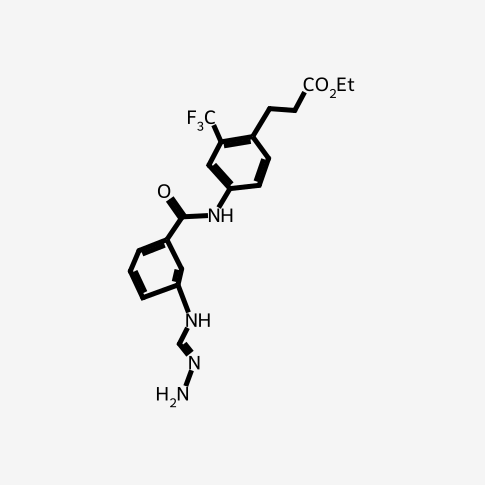 CCOC(=O)CCc1ccc(NC(=O)c2cccc(NC=NN)c2)cc1C(F)(F)F